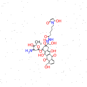 CC1O[C@@H](O[C@H]2C[C@](O)(/C(CO)=N/NC(=O)CCCCCN3C(=O)C=CC3O)Cc3c(O)c4c(c(O)c32)C(=O)c2c(CO)cccc2C4=O)C[C@@H](N)[C@H]1O